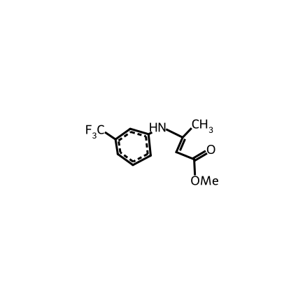 COC(=O)C=C(C)Nc1cccc(C(F)(F)F)c1